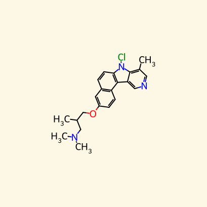 Cc1cncc2c3c4ccc(OCC(C)CN(C)C)cc4ccc3n(Cl)c12